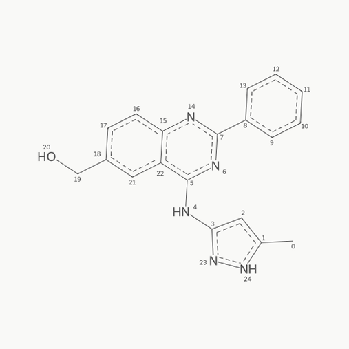 Cc1cc(Nc2nc(-c3ccccc3)nc3ccc(CO)cc23)n[nH]1